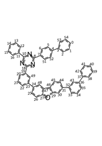 c1ccc(-c2ccc(-c3nc(-c4ccccc4)nc(-c4cccc(-c5ccc6oc7cc(-c8cccc(-c9ccccc9)c8)ccc7c6c5)c4)n3)cc2)cc1